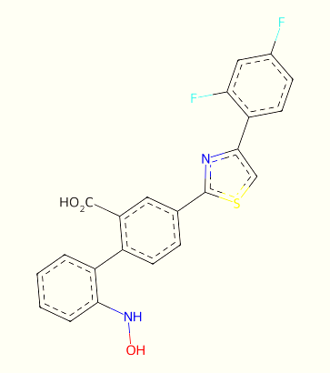 O=C(O)c1cc(-c2nc(-c3ccc(F)cc3F)cs2)ccc1-c1ccccc1NO